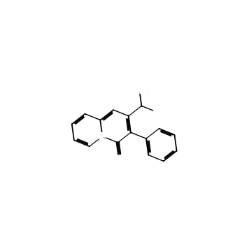 CC(O)c1cc2ccccn2c(=O)c1-c1ccccc1